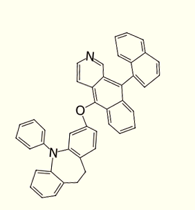 c1ccc(N2c3ccccc3CCc3ccc(Oc4c5ccccc5c(-c5cccc6ccccc56)c5cnccc45)cc32)cc1